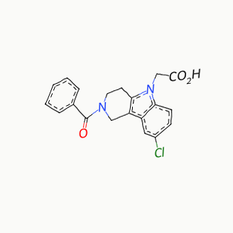 O=C(O)Cn1c2c(c3cc(Cl)ccc31)CN(C(=O)c1ccccc1)CC2